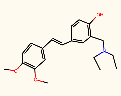 CCN(CC)Cc1cc(/C=C/c2ccc(OC)c(OC)c2)ccc1O